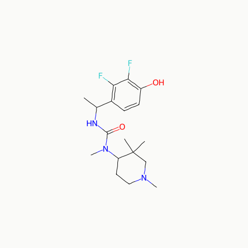 CC(NC(=O)N(C)C1CCN(C)CC1(C)C)c1ccc(O)c(F)c1F